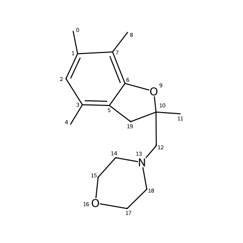 Cc1cc(C)c2c(c1C)OC(C)(CN1CCOCC1)C2